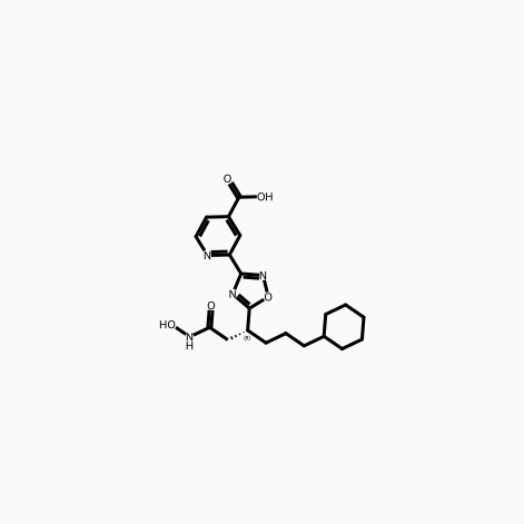 O=C(C[C@@H](CCCC1CCCCC1)c1nc(-c2cc(C(=O)O)ccn2)no1)NO